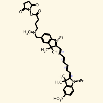 CCCN1/C(=C/C=C/C=C/C=C/C2=[N+](CC)c3ccc(CN(C)CCCC(=O)ON4C(=O)CCC4=O)cc3C2(C)C)C(C)(C)c2cc(S(=O)(=O)O)ccc21